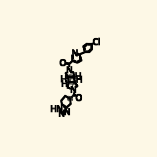 O=C(c1ccc(-c2ccc(Cl)cc2)nc1)N1C[C@@H]2[C@H](C1)[C@H]1CN(C(=O)[C@@H]3CCc4[nH]nnc4C3)C[C@@H]21